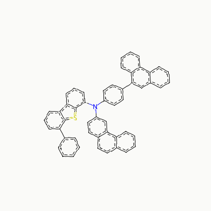 c1ccc(-c2cccc3c2sc2c(N(c4ccc(-c5cc6ccccc6c6ccccc56)cc4)c4ccc5ccc6ccccc6c5c4)cccc23)cc1